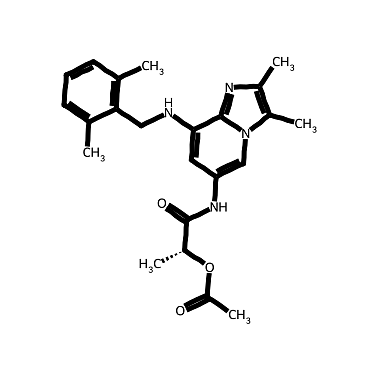 CC(=O)O[C@H](C)C(=O)Nc1cc(NCc2c(C)cccc2C)c2nc(C)c(C)n2c1